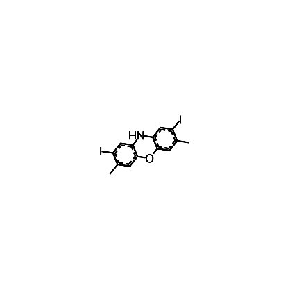 Cc1cc2c(cc1I)Nc1cc(I)c(C)cc1O2